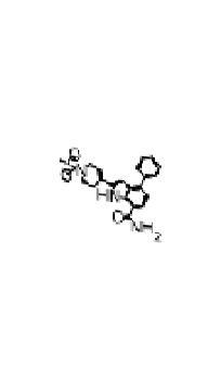 CS(=O)(=O)N1CC=C(c2cc3c(-c4ccccc4)ccc(C(N)=O)c3[nH]2)CC1